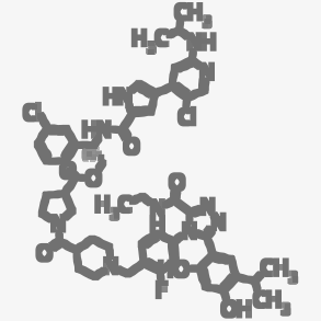 CCNC(=O)c1nnc(-c2cc(C(C)C)c(O)cc2O)n1-c1ccc(CN2CCC(C(=O)N3CCC(C(=O)OC[C@@H](NC(=O)c4cc(-c5cc(NC(C)C)ncc5Cl)c[nH]4)c4cccc(Cl)c4)C3)CC2)c(F)c1